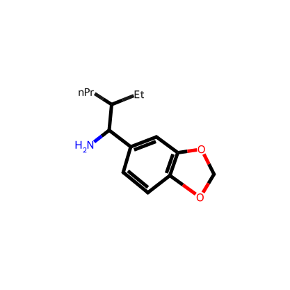 CCCC(CC)C(N)c1ccc2c(c1)OCO2